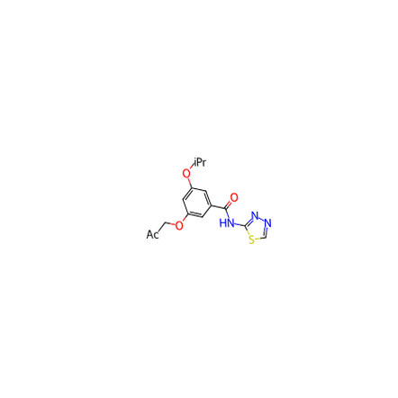 CC(=O)COc1cc(OC(C)C)cc(C(=O)Nc2nncs2)c1